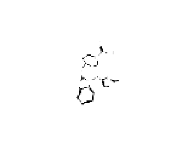 Cc1nc(Cn2c(OC3CCN(C(=O)O)CC3)nc3ccccc32)cs1